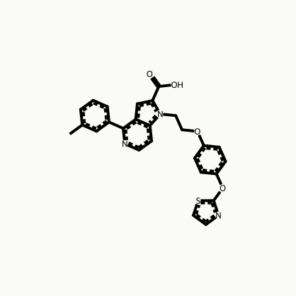 Cc1cccc(-c2nccc3c2cc(C(=O)O)n3CCOc2ccc(Oc3nccs3)cc2)c1